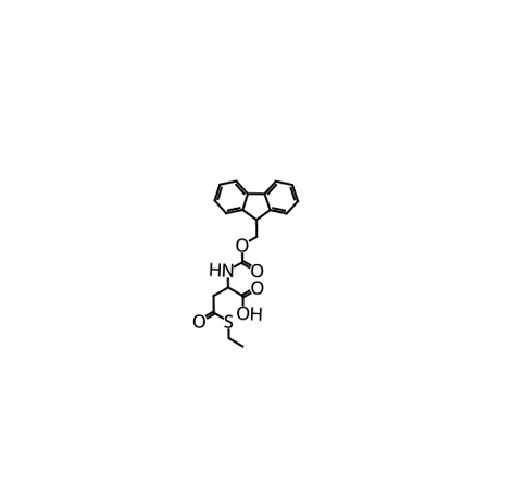 CCSC(=O)CC(NC(=O)OCC1c2ccccc2-c2ccccc21)C(=O)O